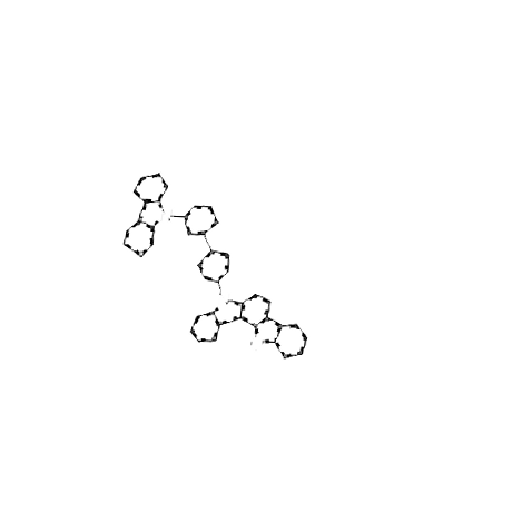 c1cc(-c2ccc(-n3c4ccccc4c4c5oc6ccccc6c5ccc43)cc2)cc(-n2c3ccccc3c3ccccc32)c1